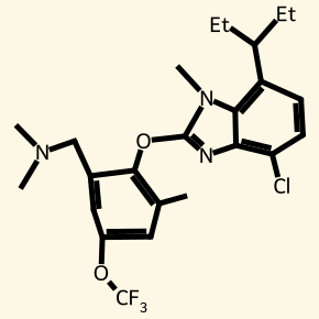 CCC(CC)c1ccc(Cl)c2nc(Oc3c(C)cc(OC(F)(F)F)cc3CN(C)C)n(C)c12